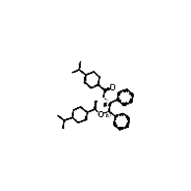 C=C(O[C@H](c1ccccc1)[C@H](CC(=O)C1CCC(C(C)C)CC1)c1ccccc1)C1CCC(C(C)C)CC1